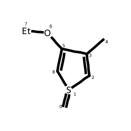 C=S1C=C(C)C(OCC)=C1